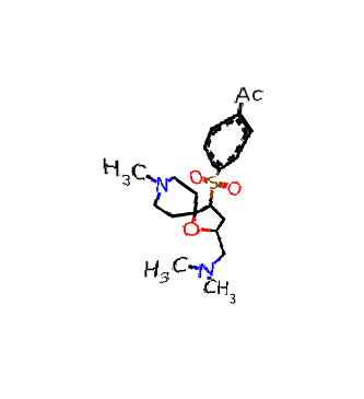 CC(=O)c1ccc(S(=O)(=O)C2CC(CN(C)C)OC23CCN(C)CC3)cc1